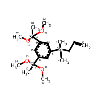 C=CC[Si](C)(C)c1cc([Si](C)(OC)OC)cc([Si](C)(OC)OC)c1